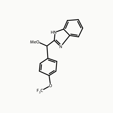 COC(c1ccc(OC(F)(F)F)cc1)c1nc2ccccc2[nH]1